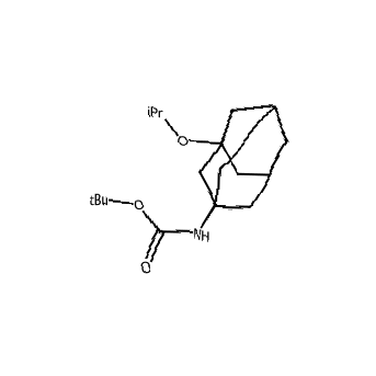 CC(C)OC12CC3CC(CC(NC(=O)OC(C)(C)C)(C3)C1)C2